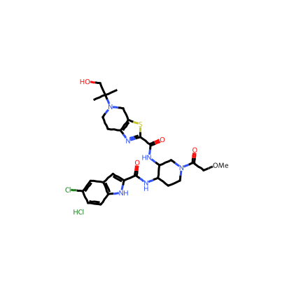 COCC(=O)N1CCC(NC(=O)c2cc3cc(Cl)ccc3[nH]2)C(NC(=O)c2nc3c(s2)CN(C(C)(C)CO)CC3)C1.Cl